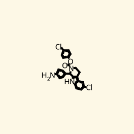 Nc1ccc(C2c3[nH]c4ccc(Cl)cc4c3CCN2C(=O)Oc2ccc(Cl)cc2)cc1